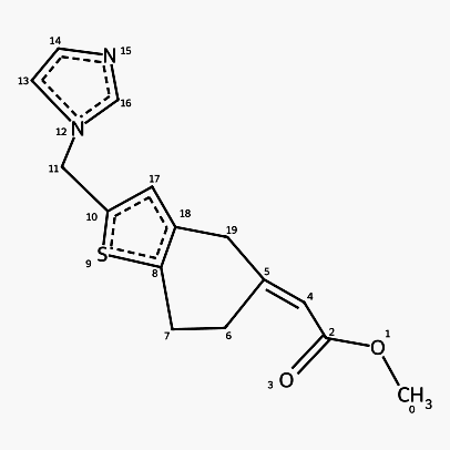 COC(=O)C=C1CCc2sc(Cn3ccnc3)cc2C1